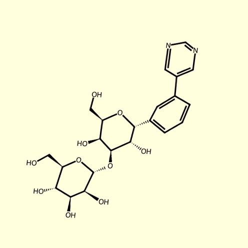 OC[C@H]1O[C@H](c2cccc(-c3cncnc3)c2)[C@H](O)[C@@H](O[C@H]2O[C@H](CO)[C@@H](O)[C@H](O)[C@@H]2O)[C@H]1O